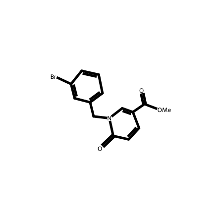 COC(=O)c1ccc(=O)n(Cc2cccc(Br)c2)c1